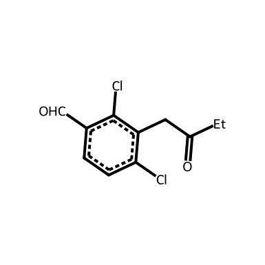 CCC(=O)Cc1c(Cl)ccc(C=O)c1Cl